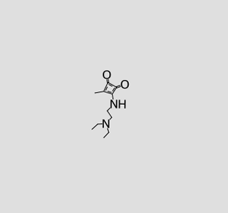 CCN(CC)CCNc1c(C)c(=O)c1=O